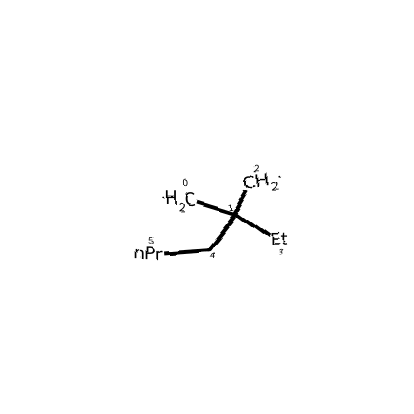 [CH2]C([CH2])(CC)CCCC